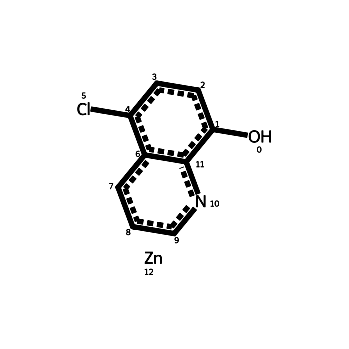 Oc1ccc(Cl)c2cccnc12.[Zn]